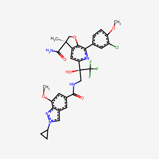 COc1ccc(-c2nc([C@@](O)(CNC(=O)c3cc(OC)c4nn(C5CC5)cc4c3)C(F)(F)F)cc3c2OC[C@]3(C)C(N)=O)cc1Cl